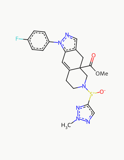 COC(=O)C12Cc3cnn(-c4ccc(F)cc4)c3C=C1CCN([S+]([O-])c1cnn(C)n1)C2